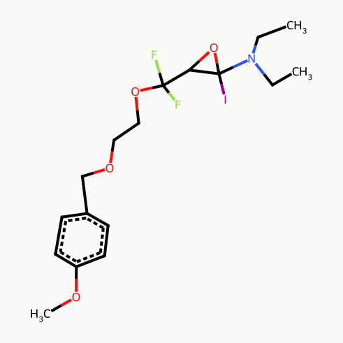 CCN(CC)C1(I)OC1C(F)(F)OCCOCc1ccc(OC)cc1